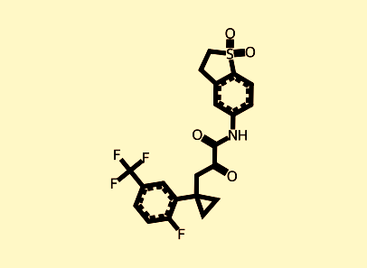 O=C(CC1(c2cc(C(F)(F)F)ccc2F)CC1)C(=O)Nc1ccc2c(c1)CCS2(=O)=O